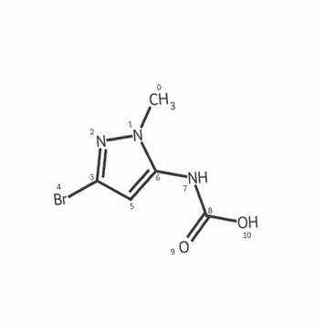 Cn1nc(Br)cc1NC(=O)O